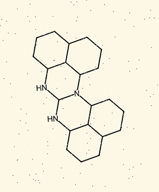 C1CC2CCCC3C2C(C1)NC1NC2CCCC4CCCC(C42)N13